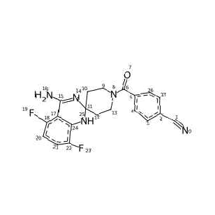 N#Cc1ccc(C(=O)N2CCC3(CC2)N=C(N)c2c(F)ccc(F)c2N3)cc1